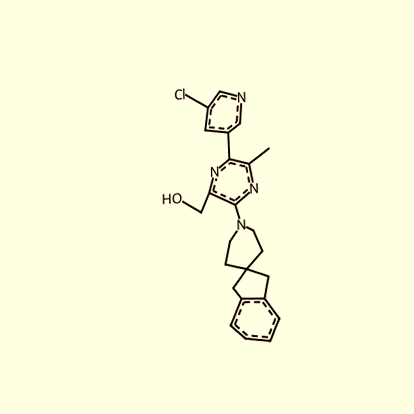 Cc1nc(N2CCC3(CC2)Cc2ccccc2C3)c(CO)nc1-c1cncc(Cl)c1